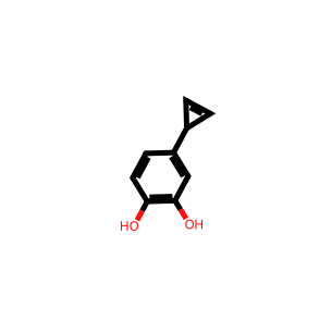 Oc1ccc(C2C=C2)cc1O